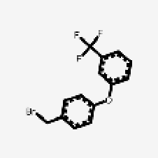 FC(F)(F)c1cccc(Oc2ccc(CBr)cc2)c1